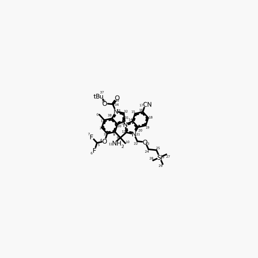 Cc1cc(OC(F)F)c(C(C)(N)c2nc3cc(C#N)ccc3n2COCC[Si](C)(C)C)c2ccn(C(=O)OC(C)(C)C)c12